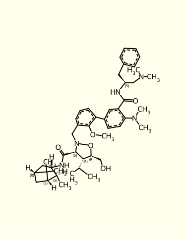 COc1c(CN2O[C@@H](CO)[C@H](C(C)C)[C@H]2C(=O)N[C@H]2C[C@H]3C[C@@H]([C@@H]2C)C3(C)C)cccc1-c1ccc(N(C)C)c(C(=O)N[C@@H](Cc2ccccc2)CN(C)C)c1